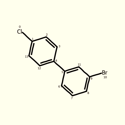 Clc1ccc(-c2[c]ccc(Br)c2)cc1